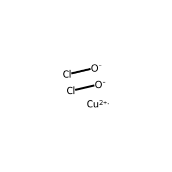 [Cu+2].[O-]Cl.[O-]Cl